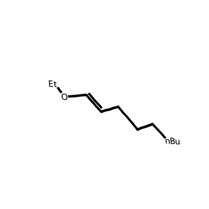 CCCCCCC/C=C/OCC